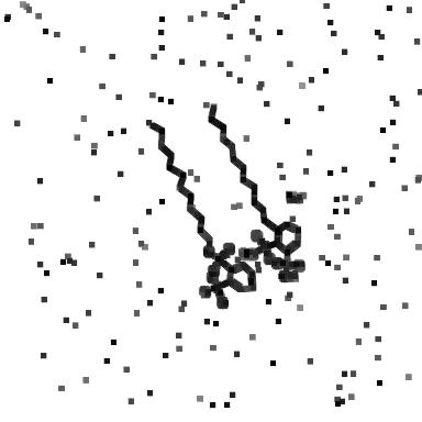 CCCCCCCCCCCCOS(=O)(=O)c1ccccc1S(=O)(=O)[O-].CCCCCCCCCCCCc1cccc(S(=O)(=O)O)c1S(=O)(=O)O.[Na+]